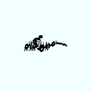 CCCCCCCOc1ccc(-c2cnc(-c3ccc(C[C@H](NC(=O)c4ccc(C(C)(C)C)s4)C(=O)N[C@H](C(=O)O)[C@H](O)c4ccccc4)cc3)nc2)cc1